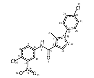 Cc1c(C(=O)Nc2ccc(Cl)c([N+](=O)[O-])c2)cnn1-c1ccc(Cl)cc1